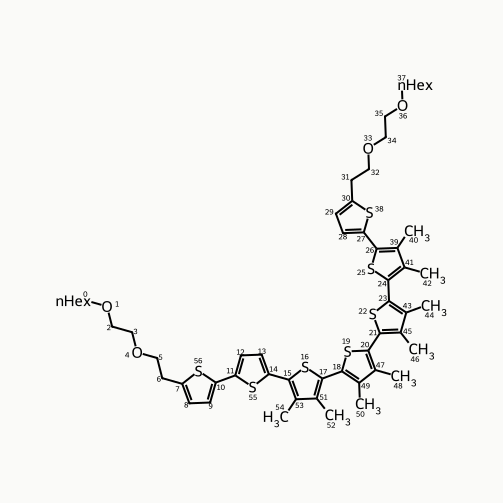 CCCCCCOCCOCCc1ccc(-c2ccc(-c3sc(-c4sc(-c5sc(-c6sc(-c7ccc(CCOCCOCCCCCC)s7)c(C)c6C)c(C)c5C)c(C)c4C)c(C)c3C)s2)s1